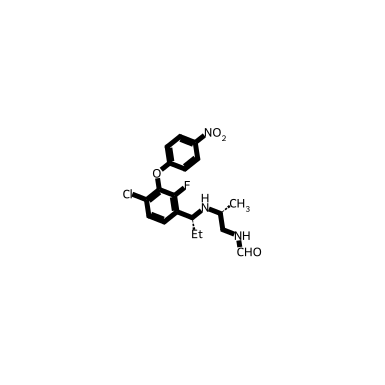 CC[C@@H](N[C@H](C)CNC=O)c1ccc(Cl)c(Oc2ccc([N+](=O)[O-])cc2)c1F